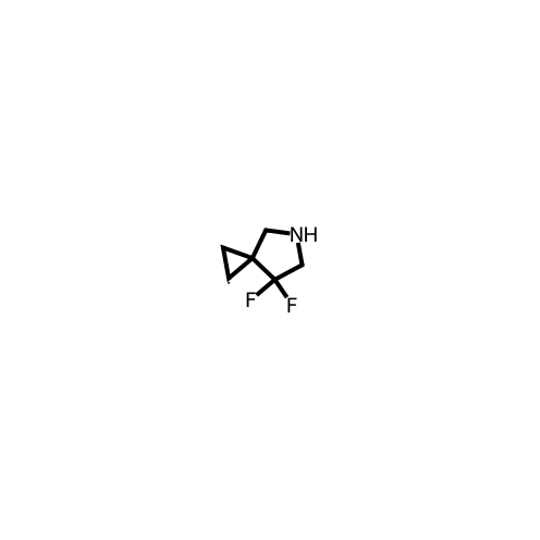 FC1(F)CNCC12[CH]C2